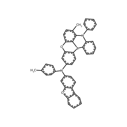 Cc1ccc(N(c2ccc3c(c2)Oc2ccc(C)c4c2B3c2ccccc2N4c2ccccc2)c2ccc3c(c2)oc2ccccc23)cc1